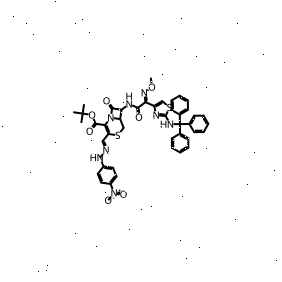 CON=C(C(=O)NC1C(=O)N2C(C(=O)OC(C)(C)C)=C(C=NNc3ccc([N+](=O)[O-])cc3)SCC12)c1csc(NC(c2ccccc2)(c2ccccc2)c2ccccc2)n1